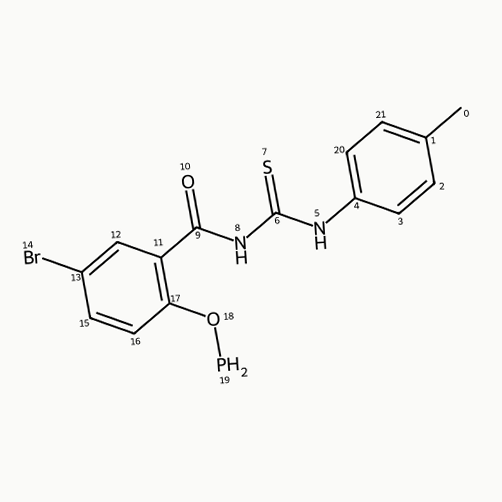 Cc1ccc(NC(=S)NC(=O)c2cc(Br)ccc2OP)cc1